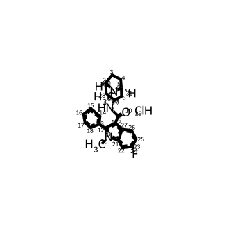 CN1[C@@H]2CC[C@H]1C[C@@H](NC(=O)c1c(-c3ccccc3)n(C)c3cc(F)ccc13)C2.Cl